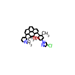 Cc1cc(-n2cc(Cl)cn2)cc(C)c1-c1ccc2ccc3ccc(-c4cccnc4)c4c(C)c(O)c1c2c34